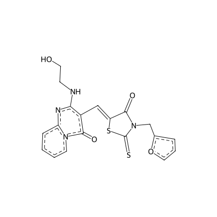 O=C1C(=Cc2c(NCCO)nc3ccccn3c2=O)SC(=S)N1Cc1ccco1